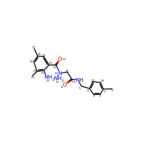 Cc1ccc(CNC(=O)CN(N)C(=O)c2cc(C)cc(C)c2N)cc1